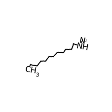 CCCCCCCCCCCCN[N]